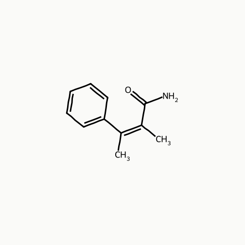 CC(C(N)=O)=C(C)c1ccccc1